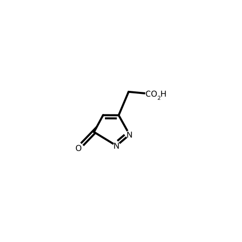 O=C(O)CC1=CC(=O)N=N1